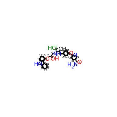 CC(CNCC(O)COc1cccc2[nH]c3ccccc3c12)Cc1ccc(Oc2ccc(C(N)=O)cn2)cc1.Cl